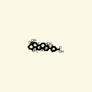 C[C@H]1CCC[C@]2(C(=O)O)CC[C@]3(C)C(=CC[C@@H]4[C@@]5(C)CC=C(c6ccc(C(=O)O)cc6)C(C)(C)[C@@H]5CC[C@]43C)[C@H]12